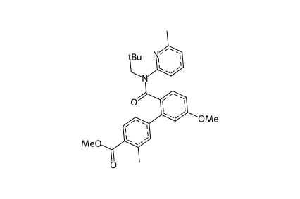 COC(=O)c1ccc(-c2cc(OC)ccc2C(=O)N(CC(C)(C)C)c2cccc(C)n2)cc1C